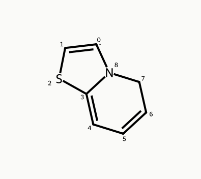 [C]1=CSC2=CC=CCN12